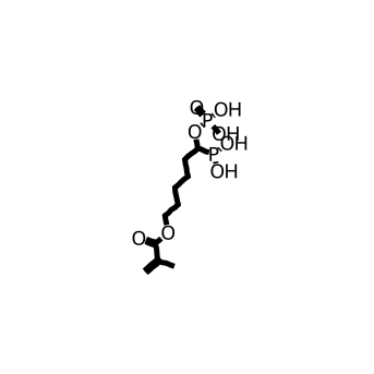 C=C(C)C(=O)OCCCCCC(OP(=O)(O)O)P(O)O